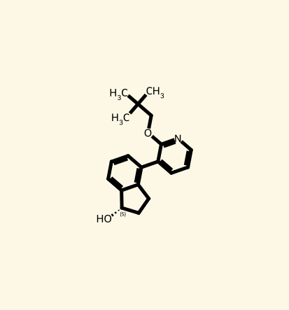 CC(C)(C)COc1ncccc1-c1cccc2c1CC[C@@H]2O